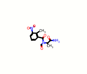 Cc1c(C(=O)N(C=O)C(C)C(N)=O)cccc1[N+](=O)[O-]